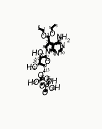 CCOC(OCC)c1cn([C@@H]2O[C@H](COP(=O)(O)OP(=O)(O)O)[C@@H](O)[C@@]2(C)O)c2ncnc(N)c12